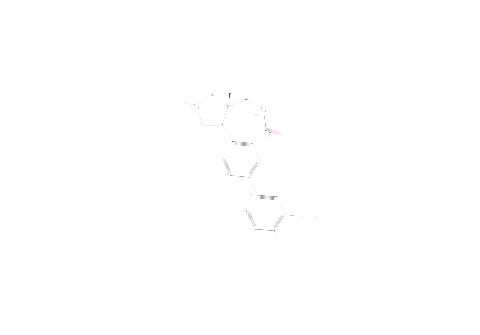 CN1CC2c3ccc(-c4ccc(F)c(F)c4)cc3C(=O)NC[C@H]2C1